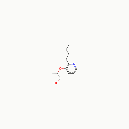 CCCCc1ncccc1OC(C)CO